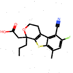 CCCC1(CC(=O)O)OCCc2c1sc1c(C)cc(F)c(C#N)c21